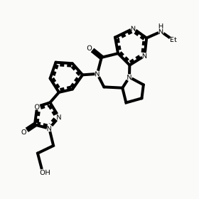 CCNc1ncc2c(n1)N1CCCC1CN(c1cccc(-c3nn(CCO)c(=O)o3)c1)C2=O